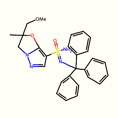 COCC1(C)Cn2ncc(S(N)(=O)=NC(c3ccccc3)(c3ccccc3)c3ccccc3)c2O1